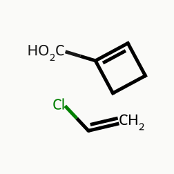 C=CCl.O=C(O)C1=CCC1